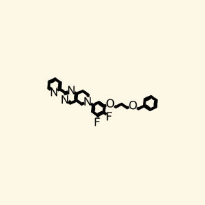 Fc1cc(N2CCc3nc(-c4ccccn4)ncc3C2)cc(OCCCOCc2ccccc2)c1F